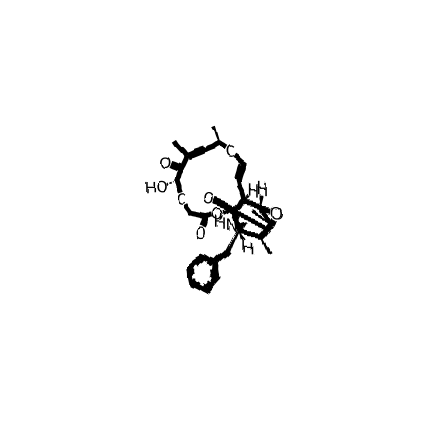 C/C1=C\[C@@H](C)C/C=C/[C@H]2[C@@H]3O[C@]3(C)[C@@H](C)[C@H]3[C@H](Cc4ccccc4)NC(=O)[C@]32OC(=O)CC[C@H](O)C1=O